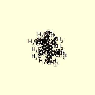 Cc1cc(C)c(-c2cc3c4c(cc5c(-c6c(C)cc(C)cc6C)cc6c7c(cc2c4c57)B2c4ccc(C(C)(C)C)cc4-c4cc(C(C)(C)C)cc-6c42)B2c4ccc(C(C)(C)C)cc4-c4cc(C(C)(C)C)cc-3c42)c(C)c1